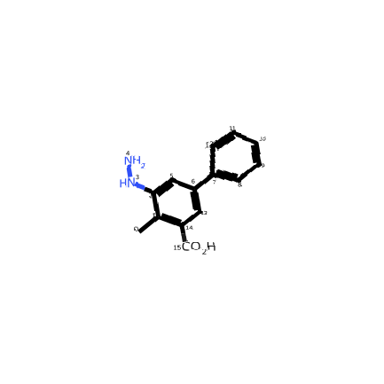 Cc1c(NN)cc(-c2ccccc2)cc1C(=O)O